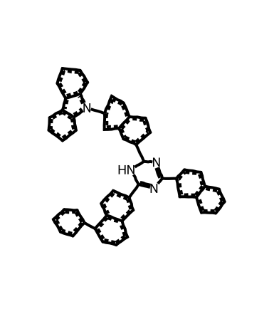 c1ccc(-c2cccc3cc(C4=NC(c5ccc6ccccc6c5)=NC(c5ccc6ccc(-n7c8ccccc8c8ccccc87)cc6c5)N4)ccc23)cc1